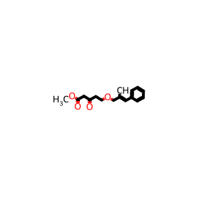 COC(=O)CC(=O)CCOC/C(C)=C/c1ccccc1